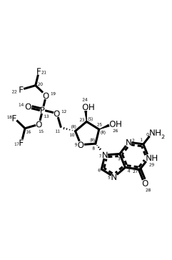 Nc1nc2c(ncn2[C@@H]2O[C@H](COP(=O)(OC(F)F)OC(F)F)[C@@H](O)[C@H]2O)c(=O)[nH]1